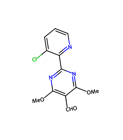 COc1nc(-c2ncccc2Cl)nc(OC)c1C=O